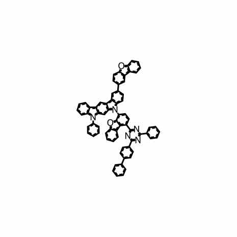 c1ccc(-c2ccc(-c3nc(-c4ccccc4)nc(-c4ccc(-n5c6ccc(-c7ccc8oc9ccccc9c8c7)cc6c6cc7c8ccccc8n(-c8ccccc8)c7cc65)c5oc6ccccc6c45)n3)cc2)cc1